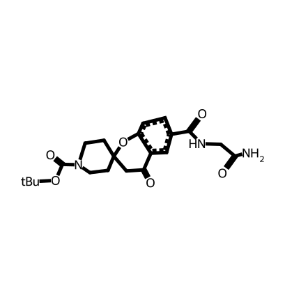 CC(C)(C)OC(=O)N1CCC2(CC1)CC(=O)c1cc(C(=O)NCC(N)=O)ccc1O2